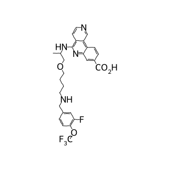 CC(COCCCCNCc1ccc(OC(F)(F)F)c(F)c1)Nc1nc2cc(C(=O)O)ccc2c2cnccc12